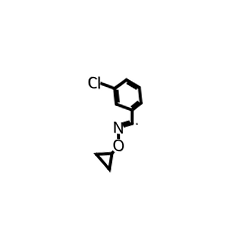 Clc1cccc(/[C]=N/OC2CC2)c1